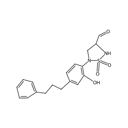 O=CC1CN(c2ccc(CCCc3ccccc3)cc2O)S(=O)(=O)N1